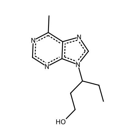 CCC(CCO)n1cnc2c(C)ncnc21